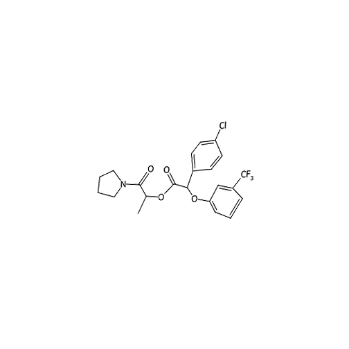 CC(OC(=O)C(Oc1cccc(C(F)(F)F)c1)c1ccc(Cl)cc1)C(=O)N1CCCC1